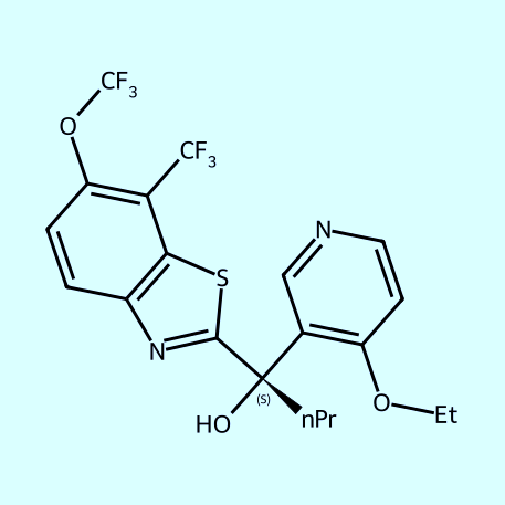 CCC[C@@](O)(c1nc2ccc(OC(F)(F)F)c(C(F)(F)F)c2s1)c1cnccc1OCC